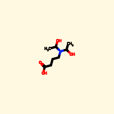 CC(O)N(CCCC(=O)O)C(C)O